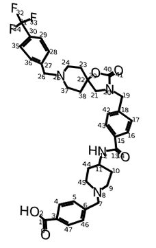 O=C(O)c1ccc(CN2CCC(NC(=O)c3ccc(CN4CC5(CCN(Cc6ccc(C(F)(F)F)cc6)CC5)OC4=O)cc3)CC2)cc1